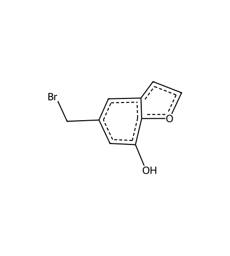 Oc1cc(CBr)cc2ccoc12